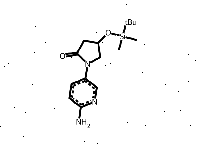 CC(C)(C)[Si](C)(C)OC1CC(=O)N(c2ccc(N)nc2)C1